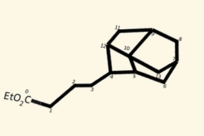 CCOC(=O)CCCC1C2CC3CC(C2)CC1C3